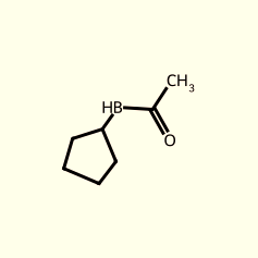 CC(=O)BC1CCCC1